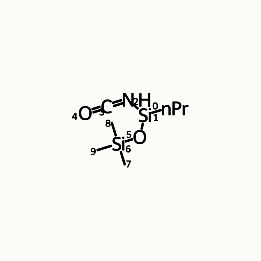 CCC[SiH](N=C=O)O[Si](C)(C)C